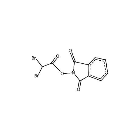 O=C(ON1C(=O)c2ccccc2C1=O)C(Br)Br